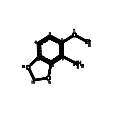 CCOc1ccc2c(c1N)OCO2